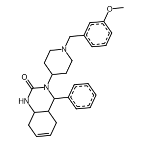 COc1cccc(CN2CCC(N3C(=O)NC4CC=CCC4C3c3ccccc3)CC2)c1